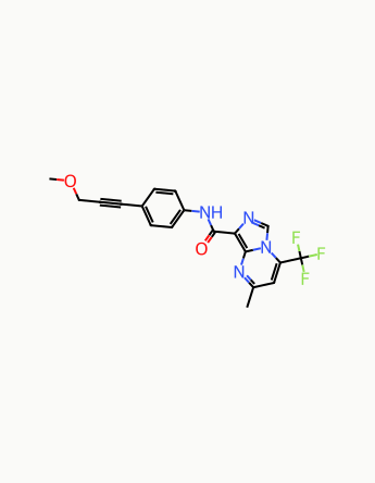 COCC#Cc1ccc(NC(=O)c2ncn3c(C(F)(F)F)cc(C)nc23)cc1